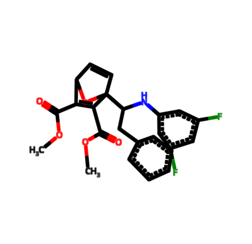 COC(=O)C1=C(C(=O)OC)C2(C(Cc3ccccc3)Nc3cc(F)cc(F)c3)C=CC1O2